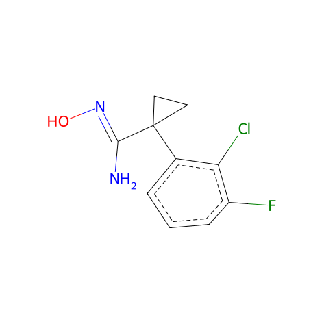 N/C(=N\O)C1(c2cccc(F)c2Cl)CC1